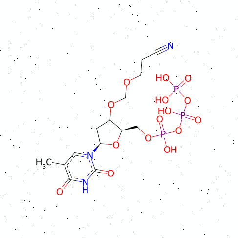 Cc1cn([C@H]2CC(OCOCCC#N)[C@@H](COP(=O)(O)OP(=O)(O)OP(=O)(O)O)O2)c(=O)[nH]c1=O